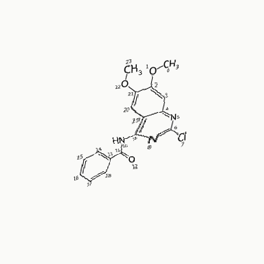 COc1cc2nc(Cl)nc(NC(=O)c3ccccc3)c2cc1OC